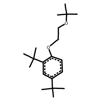 CC(C)(C)OC[CH]Oc1ccc(C(C)(C)C)cc1C(C)(C)C